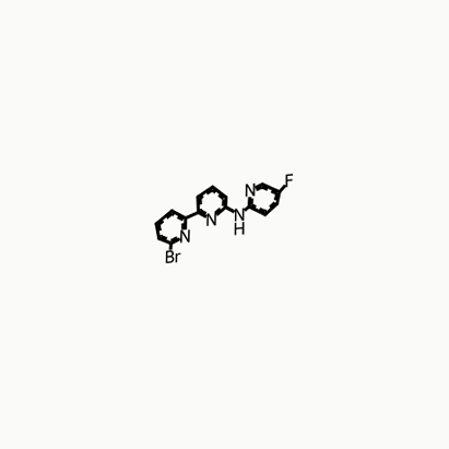 Fc1ccc(Nc2cccc(-c3cccc(Br)n3)n2)nc1